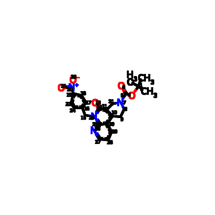 CC(C)(C)OC(=O)N1CCc2c(c(=O)n(Cc3ccc([N+](=O)[O-])cc3)c3ncccc23)C1